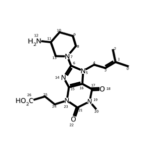 CC(C)=CCn1c(N2CCCC(N)C2)nc2c1c(=O)n(C)c(=O)n2CCC(=O)O